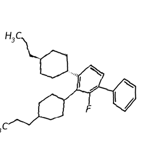 CCCC1CCC(c2c(F)c(-c3ccccc3)ccc2[C@H]2CC[C@H](CCC)CC2)CC1